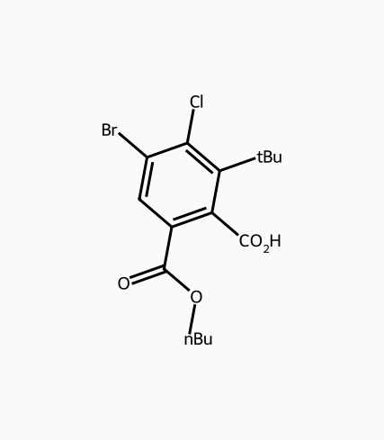 CCCCOC(=O)c1cc(Br)c(Cl)c(C(C)(C)C)c1C(=O)O